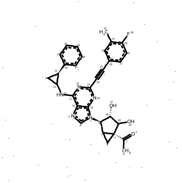 CC(=O)[C@]12CC1[C@@H](n1cnc3c(NC4C[C@H]4c4ccccc4)nc(C#Cc4ccc(F)c(C)c4)nc31)[C@H](O)C2O